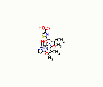 CCC(C)[C@@H](C[C@@H](O)c1nc(C(=O)O)cs1)N(C)C(=O)[C@@H](NC(=O)[C@H]1CCCN1C)C(C)C